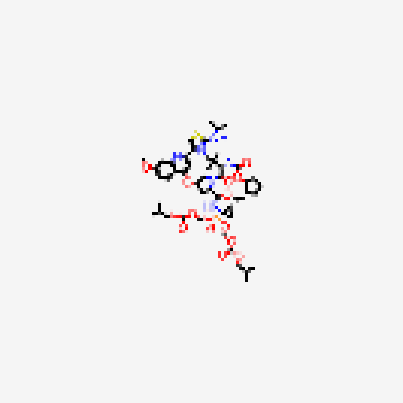 C=C[C@@H]1C[C@]1(NC(=O)C1C[C@@H](Oc2cc(-c3csc(NC(C)C)n3)nc3cc(OC)ccc23)CN1C(=O)[C@@H](NC(=O)OC1CCCC1)C(C)(C)C)P(=O)(OCOC(=O)OCC(C)C)OCOC(=O)OCC(C)C